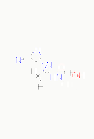 CC(C)(CO)NC(=O)c1nn(-c2cncc(C#N)c2)c2c1C[C@H]1C[C@@H]21